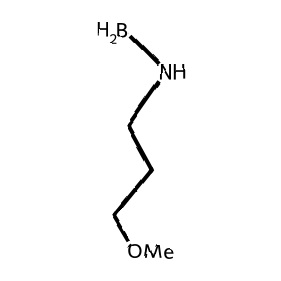 BNCCCOC